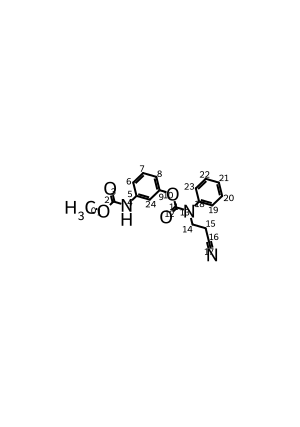 COC(=O)Nc1cccc(OC(=O)N(CCC#N)c2ccccc2)c1